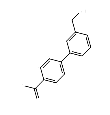 NCc1cccc(-c2ccc(C(N)=O)cc2)c1